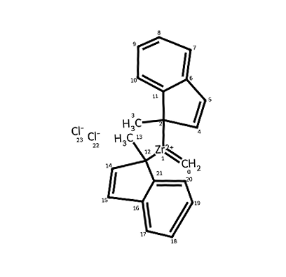 [CH2]=[Zr+2]([C]1(C)C=Cc2ccccc21)[C]1(C)C=Cc2ccccc21.[Cl-].[Cl-]